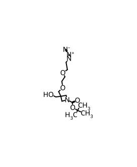 CC(C)(C)OC(=O)N1CC(CO)(COCCOCCN=[N+]=[N-])C1